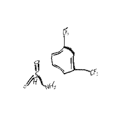 FC(F)(F)c1cccc(C(F)(F)F)c1.N[SH](=O)=O